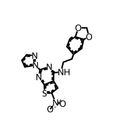 O=[N+]([O-])c1cc2c(NCCc3ccc4c(c3)OCO4)nc(-n3cccn3)nc2s1